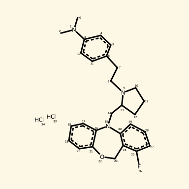 CN(C)c1ccc(CCN2CCCC2CN2c3ccccc3OCc3c(F)cccc32)cc1.Cl.Cl